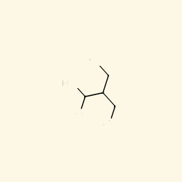 CC(=O)CC(CC(C)=O)C(O)O